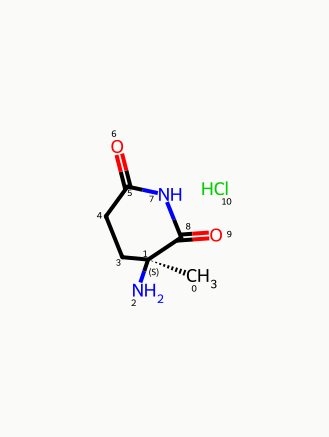 C[C@]1(N)CCC(=O)NC1=O.Cl